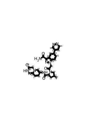 NC(=O)c1nn(CC(=O)N2CC(F)CC2C(=O)NC2=CN3CC(=O)NN=C3C=C2)c2ccc(-c3ccnnc3)cc12